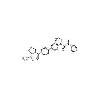 CC(=O)[C@@H]1CCC[C@H]1C(=O)c1ccc(-c2ccc3c(c2)OCCN3C(=O)Nc2ccccc2)cc1